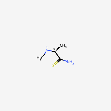 CN[C@@H](C)C(N)=S